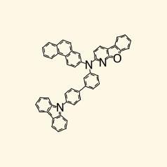 c1cc(-c2ccc(-n3c4ccccc4c4ccccc43)cc2)cc(N(c2ccc3c(ccc4ccccc43)c2)c2ccc3c(n2)oc2ccccc23)c1